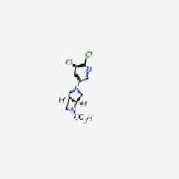 O=C(O)N1C[C@H]2CN(c3cnc(Cl)c(Cl)c3)C[C@H]21